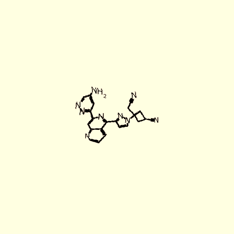 N#CCC1(n2ccc(-c3nc(-c4cc(N)cnn4)cc4ncccc34)n2)CC(C#N)C1